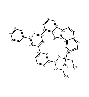 CCOB(OC(C)(C)CC)c1cccc(-c2cc(-c3cccc4c3oc3c5ccccc5ccc43)nc(-c3ccccc3)n2)c1